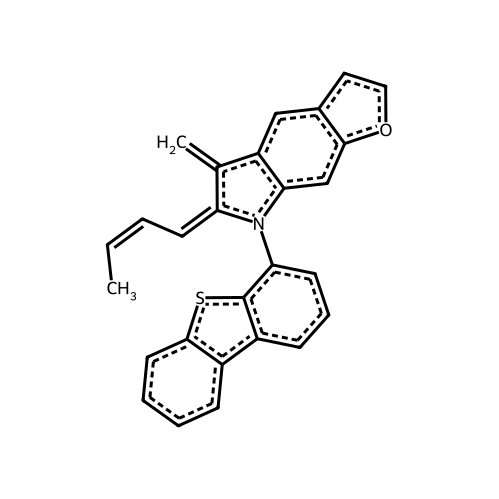 C=c1/c(=C\C=C/C)n(-c2cccc3c2sc2ccccc23)c2cc3occc3cc12